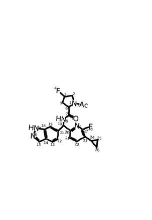 CC(=O)N1CC(F)CC1C(=O)NC(c1ccc2cn[nH]c2c1)c1ccc(C2CC2)c(F)n1